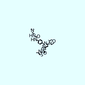 Cc1csc(S(=O)(=O)Cc2cc(N3CCOC[C@@H]3C)nc(-c3ccc(NC(=O)NCCN(C)C)cc3)n2)n1